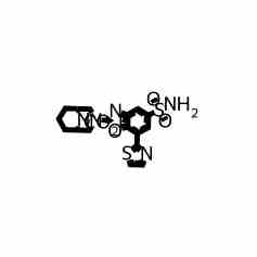 NS(=O)(=O)c1cc(-c2nccs2)c2oc(N3CC4CCCC(C3)N4C(=O)O)nc2c1